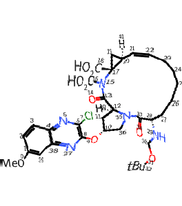 COc1ccc2nc(Cl)c(O[C@@H]3C[C@H]4C(=O)N(C(=O)O)[C@]5(C(=O)O)C[C@H]5C=CCCCCC[C@H](NCOC(C)(C)C)C(=O)N4C3)nc2c1